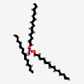 CCCCCCCCCCCCCC.CCCCCCCCCCCCCCO[PH](=O)OCCCCCCCCCCCCCC